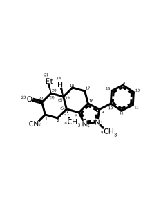 [C-]#[N+]C1C[C@]2(C)c3nn(C)c(-c4ccccc4)c3CC[C@H]2[C@H](CC)C1=O